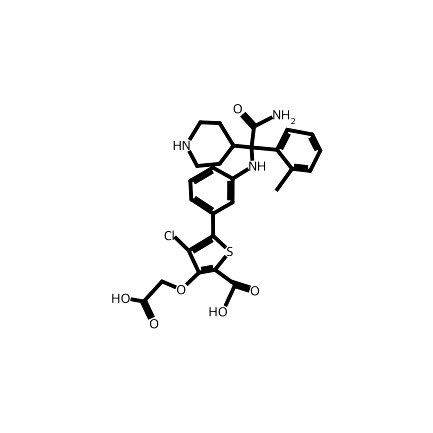 Cc1ccccc1C(Nc1cccc(-c2sc(C(=O)O)c(OCC(=O)O)c2Cl)c1)(C(N)=O)C1CCNCC1